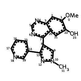 COc1cc2ncnc(-c3cn(C)nc3-c3cccnc3)c2cc1O